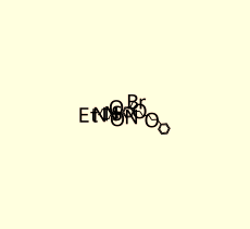 CCN1CCN(S(=O)(=O)c2cnc(OCCOCc3ccccc3)c(Br)c2)CC1